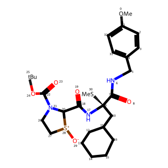 COc1ccc(CNC(=O)[C@](CC2CCCCC2)(NC(=O)C2N(C(=O)OC(C)(C)C)CC[S+]2[O-])SC)cc1